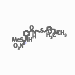 CS/C(=C\[N+](=O)[O-])Nc1cccc(C(=O)NCCSCc2ccc(CN(C)C)o2)c1